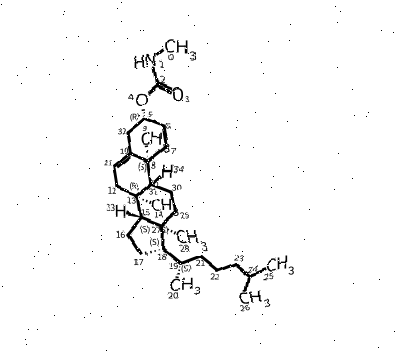 CNC(=O)O[C@@H]1CC[C@]2(C)C(=CC[C@]3(C)[C@H]4CC[C@@H]([C@@H](C)CCCC(C)C)[C@]4(C)CC[C@H]32)C1